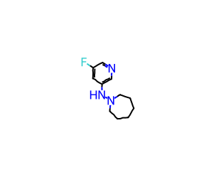 Fc1cncc(NN2CCCCCC2)c1